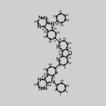 c1ccc(-n2c3cc(-c4ccc5oc6ccc(-c7ccc8c9ncnnc9n(-c9ccccc9)c8c7)nc6c5n4)ccc3c3ncnnc32)cc1